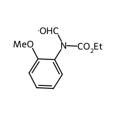 CCOC(=O)N([C]=O)c1ccccc1OC